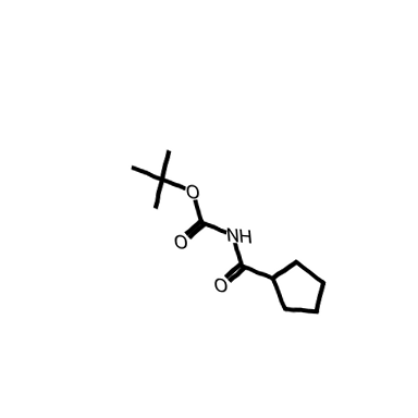 CC(C)(C)OC(=O)NC(=O)C1CCCC1